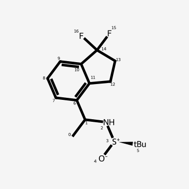 CC(N[S@+]([O-])C(C)(C)C)c1cccc2c1CCC2(F)F